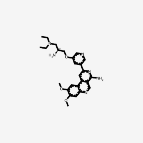 CCN(CC)C[C@H](N)COc1cncc(-c2cc3c(cnc4cc(OC)c(OC)cc43)c(N)n2)c1